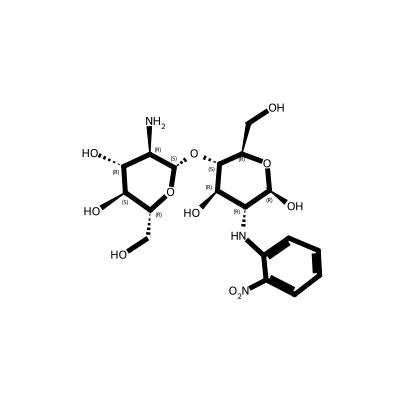 N[C@H]1[C@H](O[C@H]2[C@H](O)[C@@H](Nc3ccccc3[N+](=O)[O-])[C@H](O)O[C@@H]2CO)O[C@H](CO)[C@@H](O)[C@@H]1O